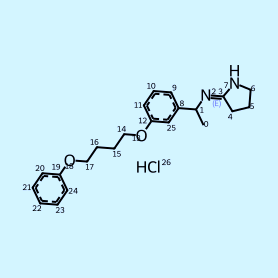 CC(/N=C1\CCCN1)c1cccc(OCCCCOc2ccccc2)c1.Cl